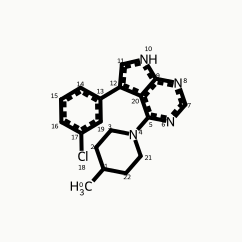 CC1CCN(c2ncnc3[nH]cc(-c4cccc(Cl)c4)c23)CC1